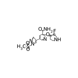 CS(=O)(=O)Cn1cc(-c2cnc(O[C@@H]3CCNC[C@@H]3F)c(C(N)=O)c2)cn1